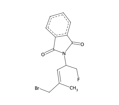 C/C(=C\C(CF)N1C(=O)c2ccccc2C1=O)CBr